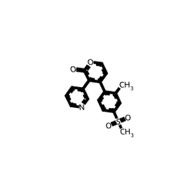 Cc1cc(S(C)(=O)=O)ccc1-c1ccoc(=O)c1-c1cccnc1